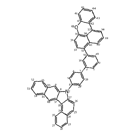 c1cc(-c2ccc(-n3c4cc5ccccc5cc4c4c5ccccc5ccc43)cc2)cc(-c2ccc3c4c(cccc24)-c2ccccc2O3)c1